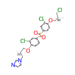 C[C@H](COc1ccc(S(=O)(=O)c2ccc(OC[C@@H](C)CCl)c(Cl)c2)cc1Cl)Cn1ccnc1